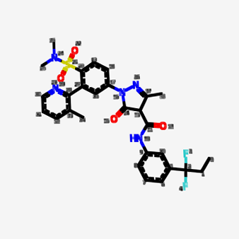 CCC(F)(F)c1cccc(NC(=O)C2C(=O)N(c3ccc(S(=O)(=O)N(C)C)c(-c4ncccc4C)c3)N=C2C)c1